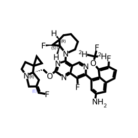 [2H]C([2H])(F)Oc1c(F)ccc2cc(N)cc(-c3ncc4c(N5CCCC[C@H]6[C@H](F)[C@H]65)nc(OC[C@]56C/C(=C\F)CN5CCC65CC5)nc4c3F)c12